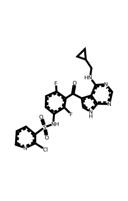 O=C(c1c(F)ccc(NS(=O)(=O)c2cccnc2Cl)c1F)c1c[nH]c2ncnc(NCC3CC3)c12